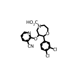 N#Cc1cccnc1OC1CN(C(=O)O)CCOC1c1ccc(Cl)c(Cl)c1